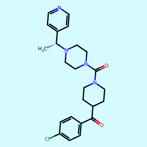 C[C@H](c1ccncc1)N1CCN(C(=O)N2CCC(C(=O)c3ccc(Cl)cc3)CC2)CC1